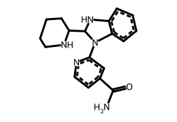 NC(=O)c1ccnc(N2c3ccccc3NC2C2CCCCN2)c1